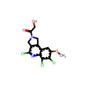 COc1cc2c3c(c(Cl)nc2c(Cl)c1Cl)CN(C(=O)CO)C3